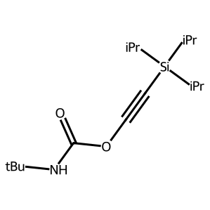 CC(C)[Si](C#COC(=O)NC(C)(C)C)(C(C)C)C(C)C